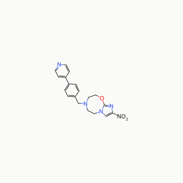 O=[N+]([O-])c1cn2c(n1)OCCN(Cc1ccc(-c3ccncc3)cc1)CC2